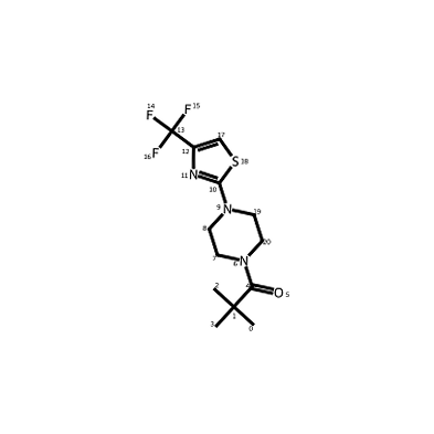 CC(C)(C)C(=O)N1CCN(c2nc(C(F)(F)F)cs2)CC1